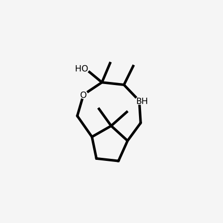 CC1BCC2CCC(COC1(C)O)C2(C)C